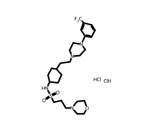 Cl.Cl.O=S(=O)(CCCN1CCOCC1)NC1CCC(CCN2CCN(c3cccc(C(F)(F)F)c3)CC2)CC1